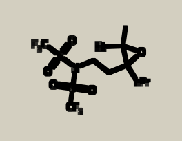 CCCC1(CCN(S(=O)(=O)C(F)(F)F)S(=O)(=O)C(F)(F)F)OC1(C)CC